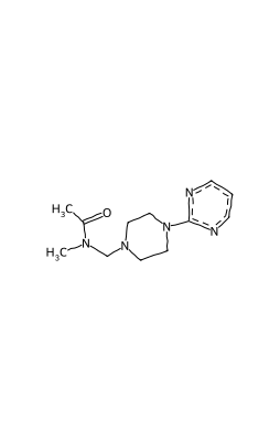 CC(=O)N(C)CN1CCN(c2ncccn2)CC1